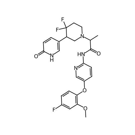 COc1cc(F)ccc1Oc1ccc(NC(=O)C(C)N2CCC(F)(F)C(c3ccc(=O)[nH]c3)C2)nc1